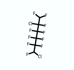 F[C](Cl)C(F)(F)C(F)(F)C(F)(F)C(F)(Cl)[C](F)F